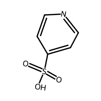 O=S(=O)(O)c1ccncc1